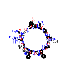 CCCC[C@H]1C(=O)N(C)[C@@H](CCCC)C(=O)N[C@@H](CCCNC(=N)N)C(=O)N[C@H](C(=O)NCC(N)=O)CSCC(=O)N[C@@H](Cc2ccc(O)cc2)C(=O)N(C)[C@@H](C)C(=O)N[C@@H](CCCN)C(=O)N2CCC[C@H]2C(=O)N[C@@H](Cc2c[nH]cn2)C(=O)N[C@@H](CC(=O)O)C(=O)N2CCC[C@H]2C(=O)N[C@@H](Cc2c[nH]c3ccccc23)C(=O)N[C@@H](C)C(=O)N[C@@H](Cc2c[nH]c3ccccc23)C(=O)N1C